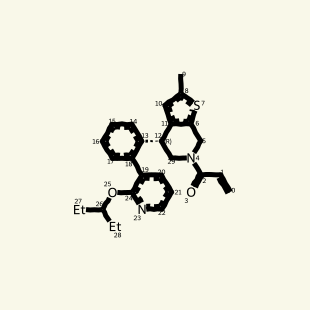 C=CC(=O)N1Cc2sc(C)cc2[C@@H](c2ccccc2-c2cccnc2OC(CC)CC)C1